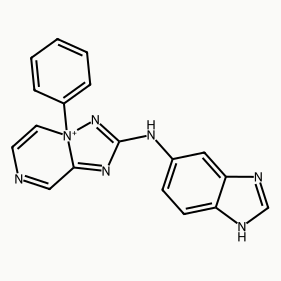 C1=C[N+]2(c3ccccc3)N=C(Nc3ccc4[nH]cnc4c3)N=C2C=N1